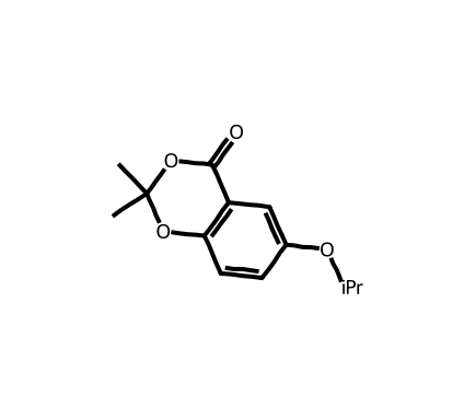 CC(C)Oc1ccc2c(c1)C(=O)OC(C)(C)O2